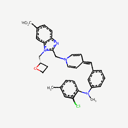 Cc1ccc(N(C)c2cccc(C=C3C=CN(Cc4nc5ccc(C(=O)O)cc5n4C[C@@H]4CCO4)C=C3)c2)c(Cl)c1